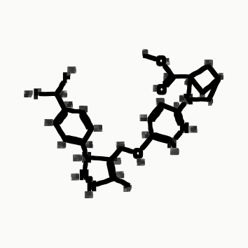 COC(=O)C12CC(CN1c1ccc(OCc3c(C)nnn3-c3ccc(C(F)F)cc3)nn1)C2